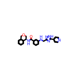 O=C(N[C@H]1COCc2ccccc21)c1cccc(NCc2n[nH]c(-c3ccncc3)n2)c1